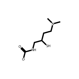 CN(C)CCC(S)CNC([O])=O